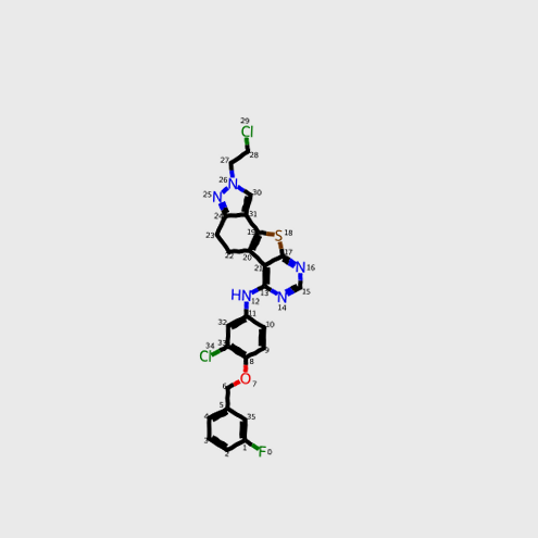 Fc1cccc(COc2ccc(Nc3ncnc4sc5c(c34)CCc3nn(CCCl)cc3-5)cc2Cl)c1